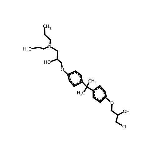 CCCN(CCC)CC(O)COc1ccc(C(C)(C)c2ccc(OCC(O)CCl)cc2)cc1